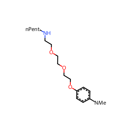 CCCCCNCCOCCOCCOc1ccc(NC)cc1